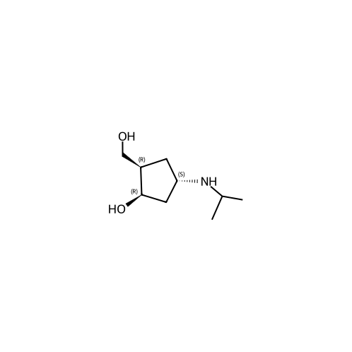 CC(C)N[C@H]1C[C@H](CO)[C@H](O)C1